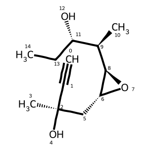 C#C[C@](C)(O)C[C@H]1O[C@@H]1[C@H](C)[C@@H](O)CC